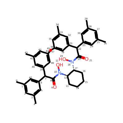 Cc1cc(C)cc(C(C(=O)N(O)[C@@H]2CCCC[C@H]2N(O)C(=O)C(c2cc(C)cc(C)c2)c2cc(C)cc(C)c2)c2cc(C)cc(C)c2)c1